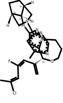 C=C(/C=C(F)\C=C(/C)Cl)[C@H]1OCCCn2nc(N[C@@H]3[C@@H]4CC[C@H]3CN(c3cc(C)ncn3)C4)nc21